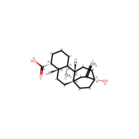 C=C1C[C@@]23CC[C@@H]4[C@H](C(=O)O)CCC[C@@]4(C)[C@@H]2CC[C@@]1(O)CC3